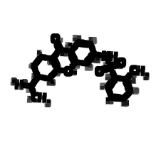 [3H]C(C)C1CCc2c(oc3cc(NS(=O)(=O)c4ccccc4C)ccc3c2=O)C1